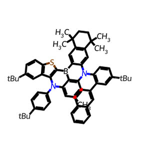 Cc1cc2c3c(c1)N(c1ccc(C(C)(C)C)cc1)c1c(sc4ccc(C(C)(C)C)cc14)B3c1cc3c(cc1N2c1ccc(C(C)(C)C)cc1-c1ccc2ccccc2c1)C(C)(C)CCC3(C)C